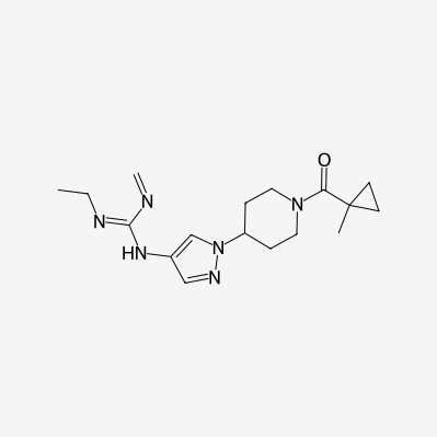 C=N/C(=N\CC)Nc1cnn(C2CCN(C(=O)C3(C)CC3)CC2)c1